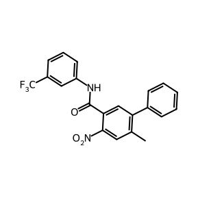 Cc1cc([N+](=O)[O-])c(C(=O)Nc2cccc(C(F)(F)F)c2)cc1-c1ccccc1